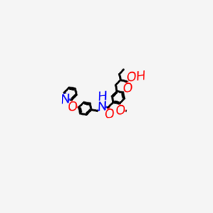 CCC(Cc1ccc(OC)c(C(=O)NCc2ccc(Oc3ccccn3)cc2)c1)C(=O)O